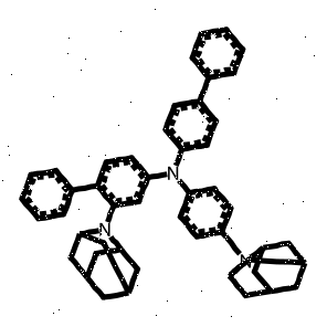 c1ccc(-c2ccc(N(c3ccc(N4C5CC6CC(C5)CC4C6)cc3)c3ccc(-c4ccccc4)c(N4C5CC6CC(C5)CC4C6)c3)cc2)cc1